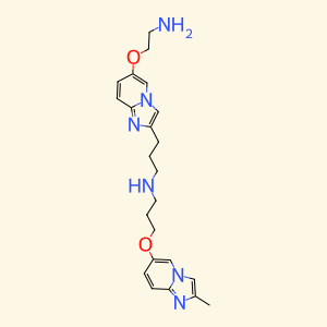 Cc1cn2cc(OCCCNCCCc3cn4cc(OCCN)ccc4n3)ccc2n1